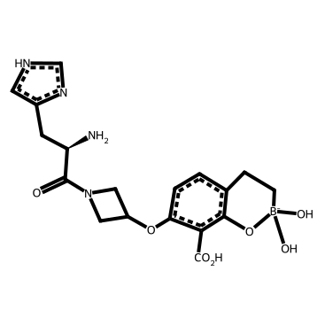 N[C@H](Cc1c[nH]cn1)C(=O)N1CC(Oc2ccc3c(c2C(=O)O)O[B-](O)(O)CC3)C1